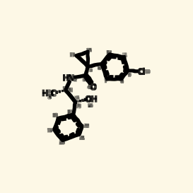 C[C@H](NC(=O)C1(c2ccc(Cl)cc2)CC1)[C@H](O)c1ccccc1